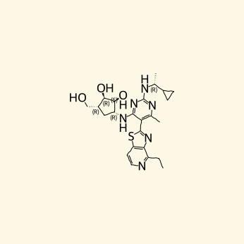 CCc1nccc2sc(-c3c(C)nc(N[C@H](C)C4CC4)nc3N[C@@H]3C[C@H](CO)[C@@H](O)[C@H]3O)nc12